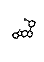 Brc1cccc(-c2cccc3cc4c(cc23)sc2ccccc24)c1